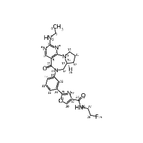 CCNc1ncc2c(n1)N1CCC[C@H]1CN(c1cccc(-c3nc(C(=O)NCCF)co3)c1)C2=O